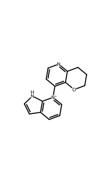 c1cc2cc[nH]c2[n+](-c2ccnc3c2OCCC3)c1